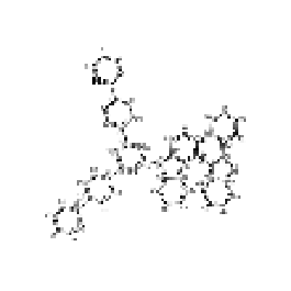 c1ccc(-c2ccc(-c3nc(-c4ccc(-c5ccccn5)cc4)nc(-n4c5ccccc5c5c4ccc4c6ccccc6c6nc7ccccc7n6c45)n3)cc2)nc1